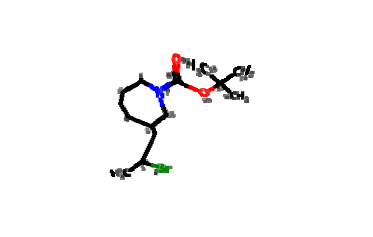 CC(Br)C1CCCN(C(=O)OC(C)(C)C)C1